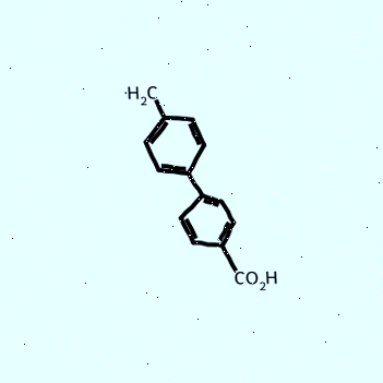 [CH2]c1ccc(-c2ccc(C(=O)O)cc2)cc1